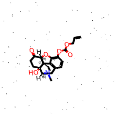 C=CCOC(=O)Oc1ccc2c3c1O[C@H]1C(=O)CCC4(O)[C@@H](C2)N(C)CC[C@]314